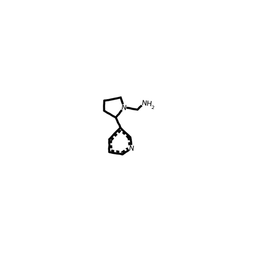 NCN1CCCC1c1cccnc1